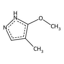 COc1[nH]ncc1C